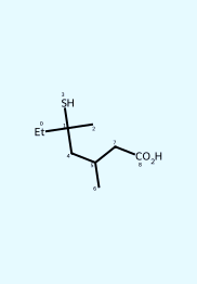 CCC(C)(S)CC(C)CC(=O)O